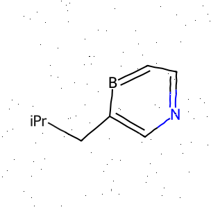 CC(C)Cc1bccnc1